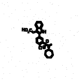 CN(C1CCCCCC1)S(=O)(=O)c1cc(-c2[nH]c3ccccc3c2CC(=O)O)ccc1Cl